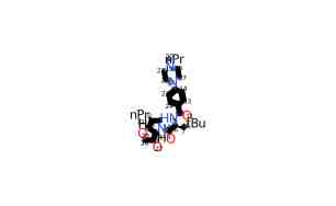 CCC[C@H]1CN(C(=O)[C@H](CC(C)(C)C)NC(=O)c2ccc(N3CCN(CCC)CC3)cc2)[C@@H]2C(=O)CO[C@H]12